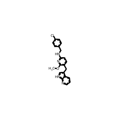 COc1nc(NCc2ccc(Cl)cc2)ccc1Cc1c[nH]c2ncccc12